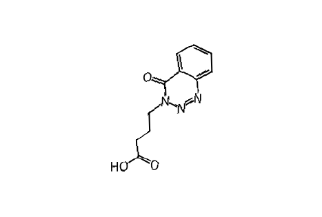 O=C(O)CCCn1nnc2ccccc2c1=O